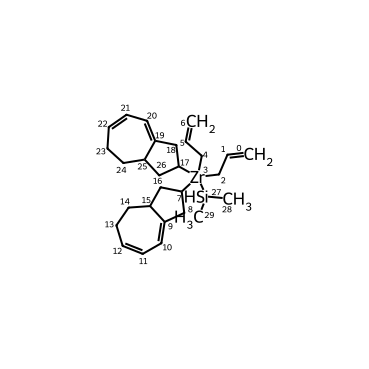 C=C[CH2][Zr]([CH2]C=C)([CH]1CC2=CC=CCCC2C1)([CH]1CC2=CC=CCCC2C1)[SiH](C)C